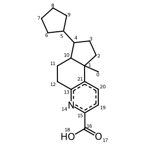 CC12CCC(C3CCCC3)C1CCc1nc(C(=O)O)ccc12